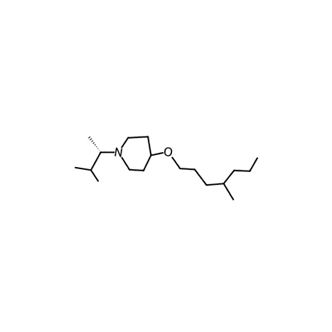 CCCC(C)CCCOC1CCN([C@@H](C)C(C)C)CC1